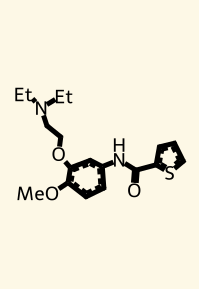 CCN(CC)CCOc1cc(NC(=O)c2cccs2)ccc1OC